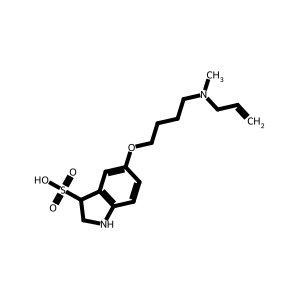 C=CCN(C)CCCCOc1ccc2c(c1)C(S(=O)(=O)O)CN2